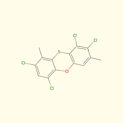 Cc1cc2c(c(Cl)c1Cl)Sc1c(C)c(Cl)cc(Cl)c1O2